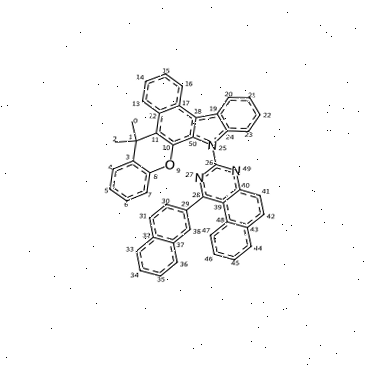 CC1(C)c2ccccc2Oc2c1c1ccccc1c1c3ccccc3n(-c3nc(-c4ccc5ccccc5c4)c4c(ccc5ccccc54)n3)c21